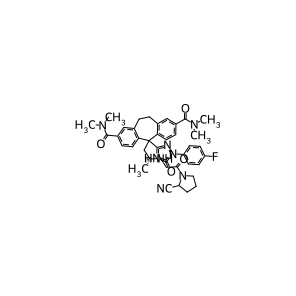 C[C@H](CC1(c2nn(-c3ccc(F)cc3)c(=O)[nH]2)c2ccc(C(=O)N(C)C)cc2CCc2cc(C(=O)N(C)C)ccc21)NCC(=O)N1CCCC1C#N